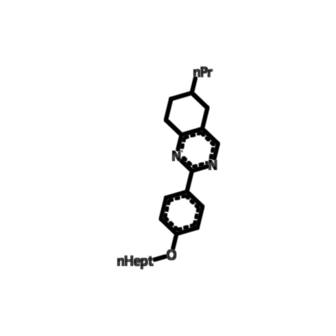 CCCCCCCOc1ccc(-c2ncc3c(n2)CCC(CCC)C3)cc1